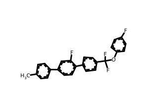 Cc1ccc(-c2ccc(-c3ccc(C(F)(F)Oc4ccc(F)cc4)cc3)c(F)c2)cc1